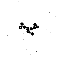 c1ccc(-c2nc3ccc4c5cc(-c6ccc(N(c7ccccc7)c7ccccc7)cc6)ccc5n(-c5ccc(-c6ccc7c8ccccc8c8ccccc8c7c6)cc5)c4c3o2)cc1